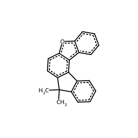 CC1(C)c2ccccc2-c2c1ccc1oc3ccccc3c21